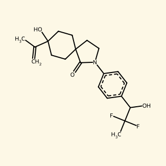 C=C(C)C1(O)CCC2(CCN(c3ccc(C(O)C(C)(F)F)cc3)C2=O)CC1